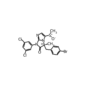 C[S+]([O-])c1cnc2n1[C@](C)(Cc1ccc(Br)cc1)C(=O)N2c1cc(Cl)cc(Cl)c1